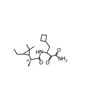 CCC1C([C@H](C)C(=O)NC(CC2CCC2)C(=O)C(N)=O)C1(C)C